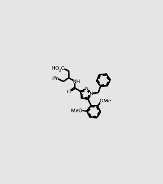 COc1cccc(OC)c1-c1cc(C(=O)NC(CC(=O)O)CC(C)C)nn1Cc1ccccc1